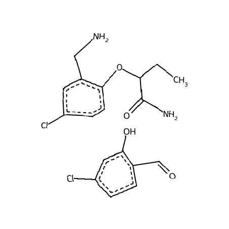 CCC(Oc1ccc(Cl)cc1CN)C(N)=O.O=Cc1ccc(Cl)cc1O